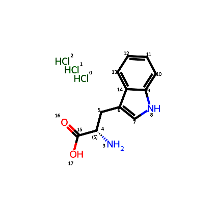 Cl.Cl.Cl.N[C@@H](Cc1c[nH]c2ccccc12)C(=O)O